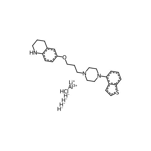 Cl.[Al+3].[H-].[H-].[H-].[H-].[Li+].c1cc(N2CCN(CCCOc3ccc4c(c3)CCCN4)CC2)c2ccsc2c1